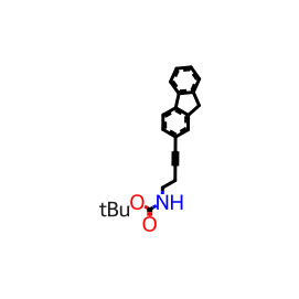 CC(C)(C)OC(=O)NCCC#Cc1ccc2c(c1)Cc1ccccc1-2